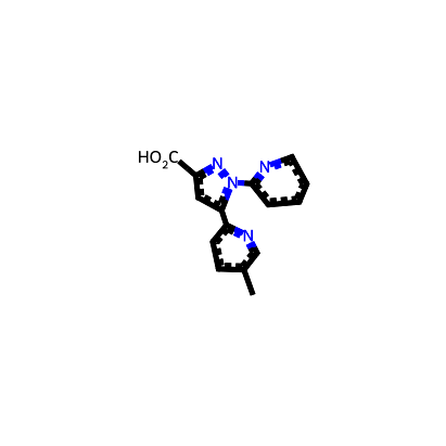 Cc1ccc(-c2cc(C(=O)O)nn2-c2ccccn2)nc1